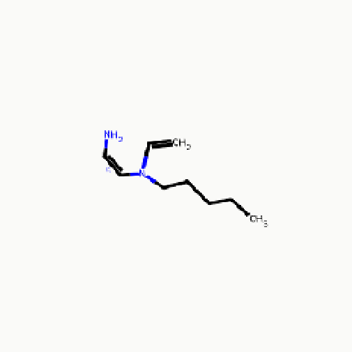 C=CN(/C=C\N)CCCCC